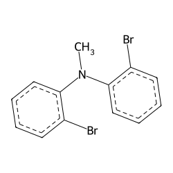 CN(c1ccccc1Br)c1ccccc1Br